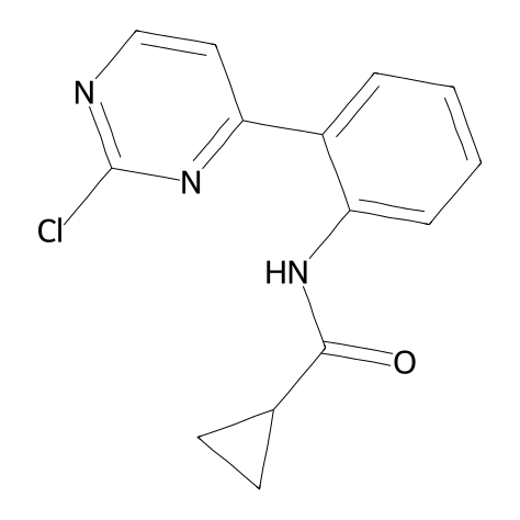 O=C(Nc1ccccc1-c1ccnc(Cl)n1)C1CC1